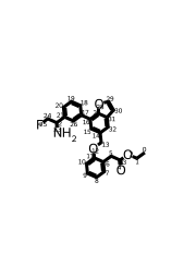 CCOC(=O)Cc1ccccc1OCc1cc(-c2cccc(C(N)CF)c2)c2occc2c1